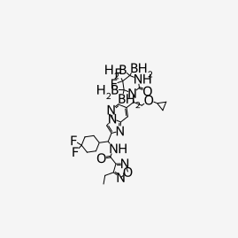 BC1(B)NC(=O)N(C(COC2CC2)c2cnn3cc(C(NC(=O)c4nonc4CC)C4CCC(F)(F)CC4)nc3c2)C(B)(B)C1(F)F